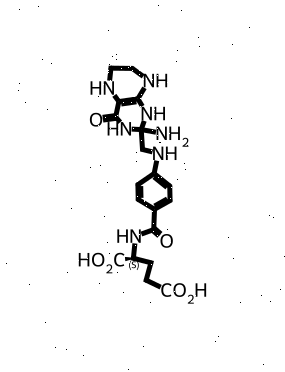 NC1(CNc2ccc(C(=O)N[C@@H](CCC(=O)O)C(=O)O)cc2)NC(=O)C2=C(NCCN2)N1